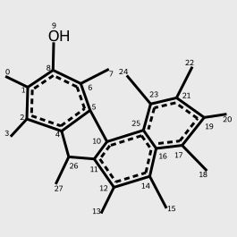 Cc1c(C)c2c(c(C)c1O)-c1c(c(C)c(C)c3c(C)c(C)c(C)c(C)c13)C2C